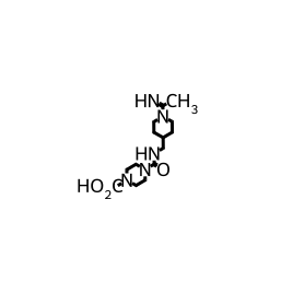 CC(=N)N1CCC(CNC(=O)N2CCN(C(=O)O)CC2)CC1